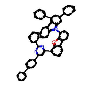 c1ccc(-c2ccc(-c3cc(-c4cccc5c4oc4c(-n6c7ccccc7c7c(-c8ccccc8)cc(-c8ccccc8)cc76)cccc45)nc(-c4ccccc4)n3)cc2)cc1